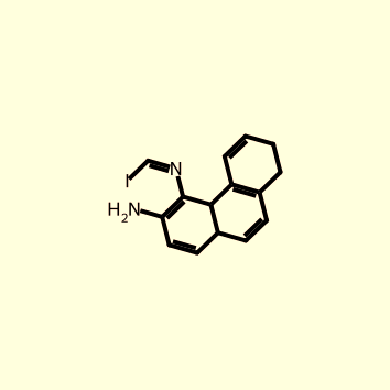 NC1=C(/N=C\I)C2C3=C(C=CC2C=C1)CCC=C3